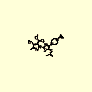 COC(=O)c1c(Br)c(C)nn1-c1nc(N2CCN(C3CC3)CC2)c(SC(C)C)s1